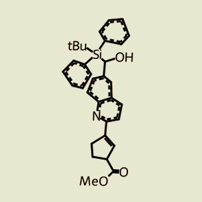 COC(=O)C1C=C(c2ccc3cc(C(O)[Si](c4ccccc4)(c4ccccc4)C(C)(C)C)ccc3n2)CC1